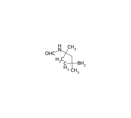 BC(C)(C)CC(C)(C)NC=O